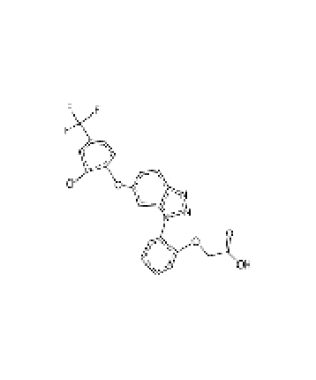 O=C(O)COc1ccccc1-n1nnc2ccc(Oc3ccc(C(F)(F)F)cc3Cl)cc21